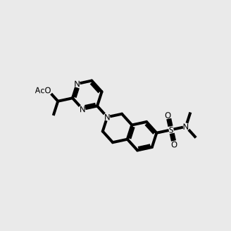 CC(=O)OC(C)c1nccc(N2CCc3ccc(S(=O)(=O)N(C)C)cc3C2)n1